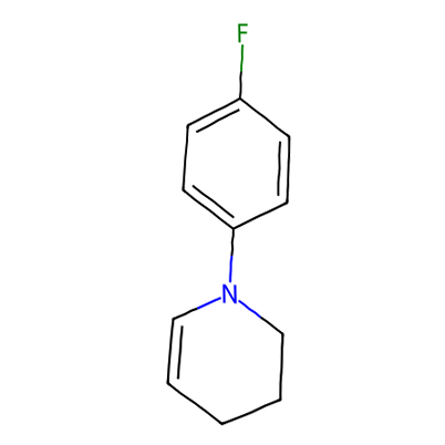 Fc1ccc(N2C=CCCC2)cc1